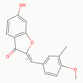 COc1ccc(/C=C2\Oc3cc(O)ccc3C2=O)cc1C